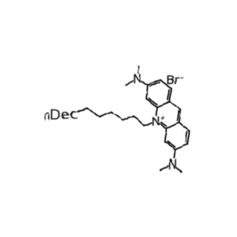 CCCCCCCCCCCCCCCC[n+]1c2cc(N(C)C)ccc2cc2ccc(N(C)C)cc21.[Br-]